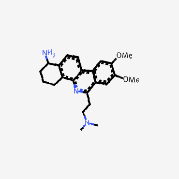 COc1cc2c(CCN(C)C)nc3c4c(ccc3c2cc1OC)C(N)CCC4